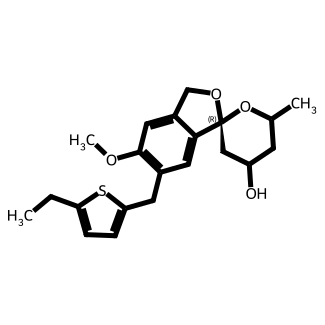 CCc1ccc(Cc2cc3c(cc2OC)CO[C@@]32CC(O)CC(C)O2)s1